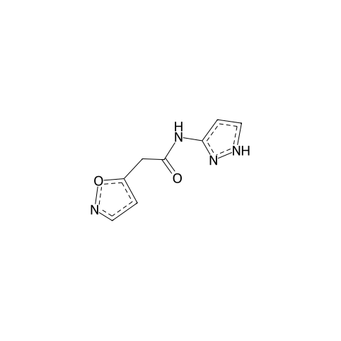 O=C(Cc1ccno1)Nc1cc[nH]n1